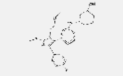 COCCn1c(SC)nc(-c2ccc(F)cc2)c1-c1ccnc(NC2CCCC(O)C2)c1